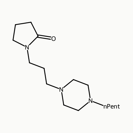 CCCCCN1CCN(CCCN2CCCC2=O)CC1